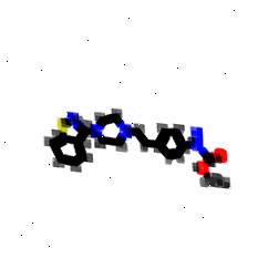 CCCCOC(=O)Nc1ccc(CCN2CCN(c3nsc4ccccc34)CC2)cc1